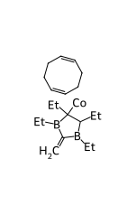 C1=CCCC=CCC1.C=C1B(CC)C(CC)[C]([Co])(CC)B1CC